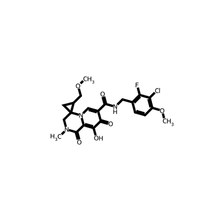 COCC1CC12CN(C)C(=O)c1c(O)c(=O)c(C(=O)NCc3ccc(OC)c(Cl)c3F)cn12